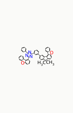 CC1(C)c2ccc(-c3cccc(-c4nc(-c5ccccc5)nc(-c5cccc6oc7ccccc7c56)n4)c3)cc2-c2c1ccc1oc3ccccc3c21